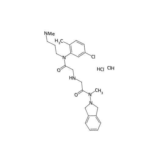 CNCCCN(C(=O)CNCC(=O)N(C)N1Cc2ccccc2C1)c1cc(Cl)ccc1C.Cl.Cl